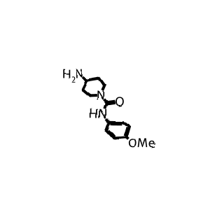 COc1ccc(NC(=O)N2CCC(N)CC2)cc1